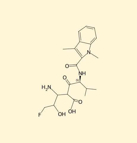 Cc1c(C(=O)N[C@H](C(=O)C(C(=O)O)C(N)C(O)CF)C(C)C)n(C)c2ccccc12